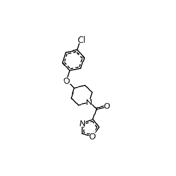 O=C(c1cocn1)N1CCC(Oc2ccc(Cl)cc2)CC1